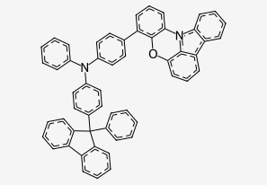 c1ccc(N(c2ccc(-c3cccc4c3Oc3cccc5c6ccccc6n-4c35)cc2)c2ccc(C3(c4ccccc4)c4ccccc4-c4ccccc43)cc2)cc1